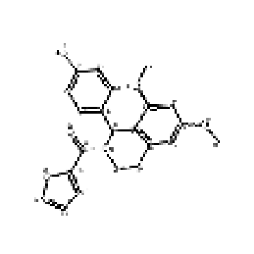 COc1cc2c(c(OC)c1)C(c1ccc(O)cc1)N(C(=O)c1ccno1)CC2